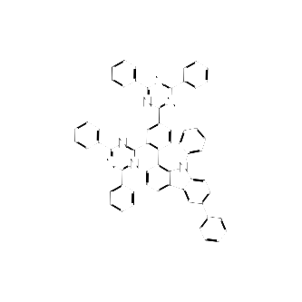 c1ccc(-c2ccc3c(c2)c2cccc(-c4ccc(-c5nc(-c6ccccc6)nc(-c6ccccc6)n5)cc4-c4nc(-c5ccccc5)nc(-c5ccccc5)n4)c2n3-c2ccccc2)cc1